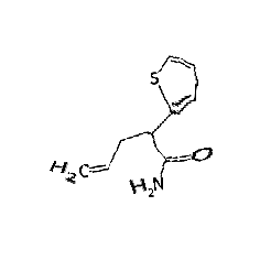 C=CCC(C(N)=O)c1cccs1